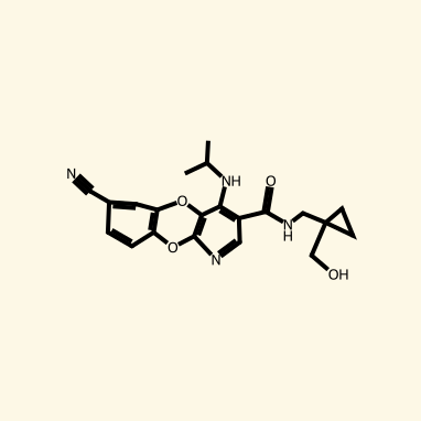 CC(C)Nc1c(C(=O)NCC2(CO)CC2)cnc2c1Oc1cc(C#N)ccc1O2